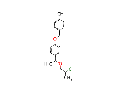 Cc1ccc(COc2ccc(C(C)OCC(C)Cl)cc2)cc1